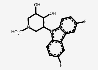 O=C(O)N1CC(O)C(O)C(n2c3ccc(F)cc3c3cc(F)ccc32)C1